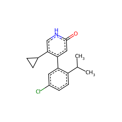 CC(C)c1ccc(Cl)cc1-c1cc(=O)[nH]cc1C1CC1